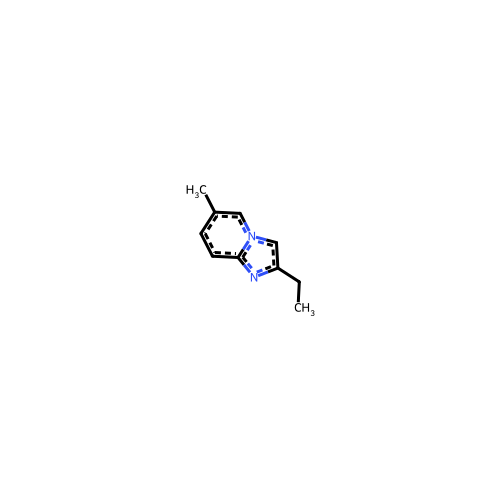 CCc1cn2cc(C)ccc2n1